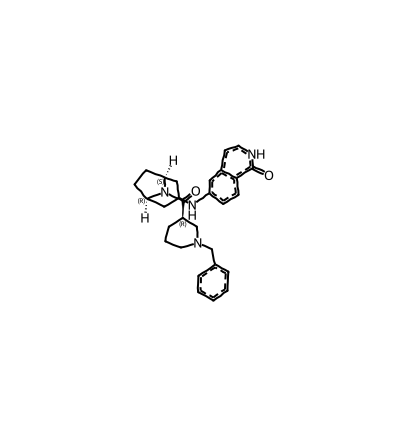 O=C([C@@H]1CCCN(Cc2ccccc2)C1)N1[C@@H]2CC[C@H]1CC(Nc1ccc3c(=O)[nH]ccc3c1)C2